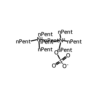 CCCCC[N+](CCCCC)(CCCCC)CCCCC.CCCCC[N+](CCCCC)(CCCCC)CCCCC.O=S(=O)([O-])[O-]